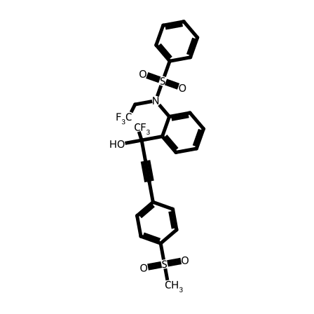 CS(=O)(=O)c1ccc(C#CC(O)(c2ccccc2N(CC(F)(F)F)S(=O)(=O)c2ccccc2)C(F)(F)F)cc1